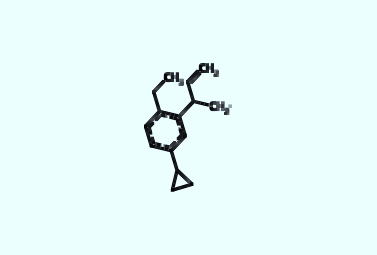 [CH2]C(C=C)c1cc(C2CC2)ccc1CC